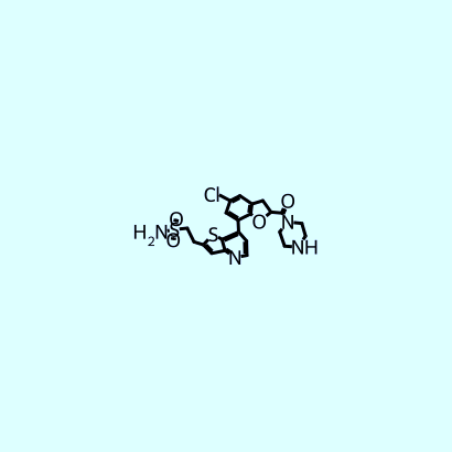 NS(=O)(=O)CCc1cc2nccc(-c3cc(Cl)cc4c3OC(C(=O)N3CCNCC3)C4)c2s1